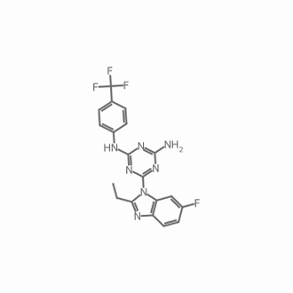 CCc1nc2ccc(F)cc2n1-c1nc(N)nc(Nc2ccc(C(F)(F)F)cc2)n1